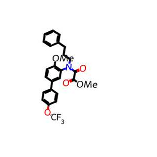 COC(=O)C(=O)N(CCCc1ccccc1)c1cc(-c2ccc(OC(F)(F)F)cc2)ccc1OC